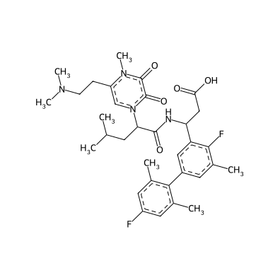 Cc1cc(-c2c(C)cc(F)cc2C)cc(C(CC(=O)O)NC(=O)C(CC(C)C)n2cc(CCN(C)C)n(C)c(=O)c2=O)c1F